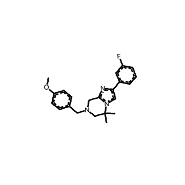 COc1ccc(CN2Cc3nc(-c4cccc(F)c4)cn3C(C)(C)C2)cc1